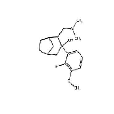 COc1cccc(C2(O)CC3CCC(C3)C2CN(C)C)c1F